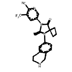 C=C1N(c2cnc(C#N)c(C(F)(F)F)c2)C(=O)C2(CCC2)N1c1ccc2c(c1)CCNC2